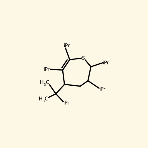 CC(C)C1=C(C(C)C)C(C(C)(C)C(C)C)CC(C(C)C)C(C(C)C)S1